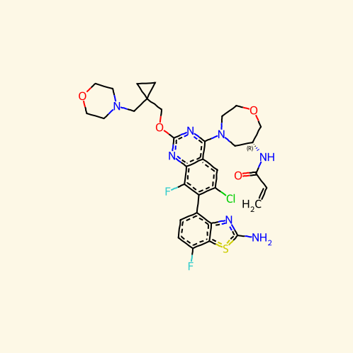 C=CC(=O)N[C@H]1COCCN(c2nc(OCC3(CN4CCOCC4)CC3)nc3c(F)c(-c4ccc(F)c5sc(N)nc45)c(Cl)cc23)C1